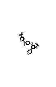 O=[N+]([O-])c1ccc(N[C@H]2CC[C@@H](Oc3cc(N4CCOCC4)cc4nccnc34)CC2)nc1